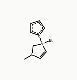 CC[N+]1(n2cccc2)C=CN(C)C1